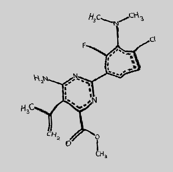 C=C(C)c1c(N)nc(-c2ccc(Cl)c(N(C)C)c2F)nc1C(=O)OC